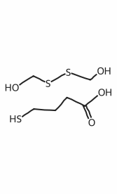 O=C(O)CCCS.OCSSCO